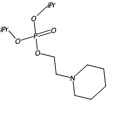 CC(C)OP(=O)(OCCN1CCCCC1)OC(C)C